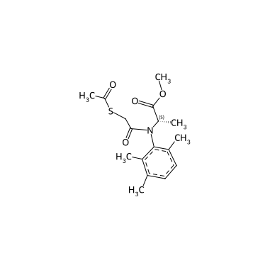 COC(=O)[C@H](C)N(C(=O)CSC(C)=O)c1c(C)ccc(C)c1C